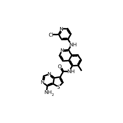 Cc1ccc2c(Nc3ccnc(Cl)c3)nccc2c1NC(=O)c1csc2c(N)ncnc12